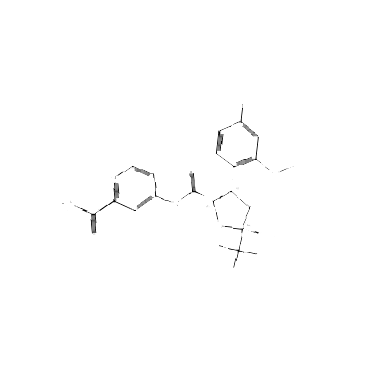 COc1cc(F)ccc1[C@@H]1C[C@](C)(C(F)(F)F)O[C@H]1C(=O)Nc1ccnc(C(N)=O)c1